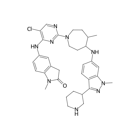 CC1CCN(c2ncc(Cl)c(Nc3ccc4c(c3)CC(=O)N4C)n2)CCC1Nc1ccc2c(C3CCCNC3)nn(C)c2c1